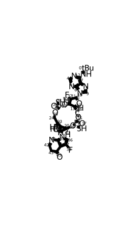 CC(C)(C)Nc1ncnc2c1ncn2[C@@H]1O[C@@H]2COP(=O)(S)O[C@@H]3[C@H](O)[C@@H](COP(=O)(S)O[C@H]2[C@H]1F)O[C@H]3n1cc(F)c2c1N=CCC2=O